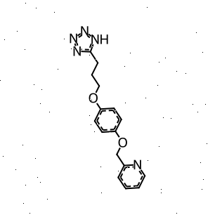 c1ccc(COc2ccc(OCCCc3nnn[nH]3)cc2)nc1